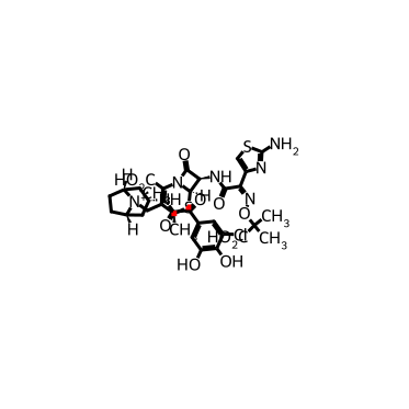 C[C@@H]1S[C@@H]2[C@H](NC(=O)/C(=N\OC(C)(C)C(=O)O)c3csc(N)n3)C(=O)N2C(C(=O)O)=C1C[N@+]1(C)[C@@H]2CC[C@H]1C[C@@H](NC(=O)C(=O)c1cc(O)c(O)c(Cl)c1)C2